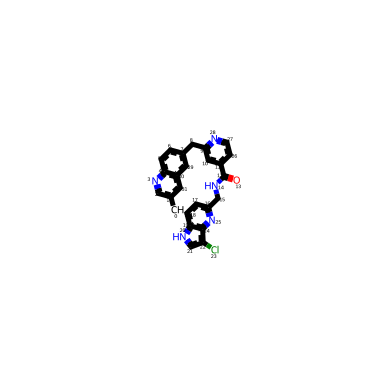 Cc1cnc2ccc(Cc3cc(C(=O)NCc4ccc5[nH]cc(Cl)c5n4)ccn3)cc2c1